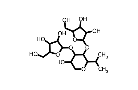 CC(C)C1OCC(O)C(OC2OC(CO)C(O)C2O)C1OC1OC(CO)C(O)C1O